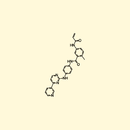 C=CC(=O)Nc1ccc(C)c(C(=O)Nc2ccc(Nc3nccc(-c4cccnc4)n3)cc2)c1